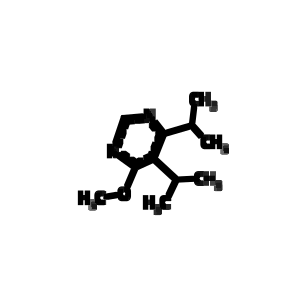 COc1ncnc(C(C)C)c1C(C)C